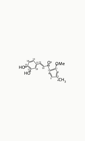 COc1cc(C)ccc1C(=O)/C=C/c1ccc(O)c(O)c1